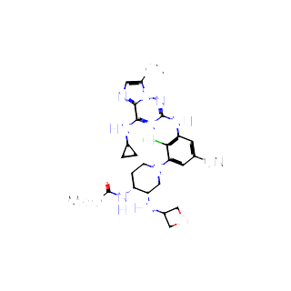 COC(=O)N[C@H]1CCN(c2cc(C#N)cc(Nc3nc(NC4CC4)c4ncc(C#N)n4n3)c2Cl)C[C@H]1NC1COC1